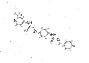 Cc1cc(NC(=O)COc2ccc(NC(=O)OCc3ccccc3)cc2)ccn1